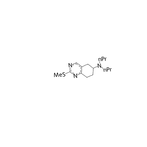 CCCN(CCC)C1CCc2nc(SC)ncc2C1